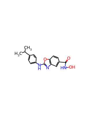 CC(C)c1ccc(Nc2nc3cc(C(=O)NO)ccc3o2)cc1